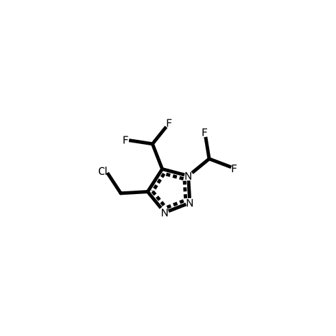 FC(F)c1c(CCl)nnn1C(F)F